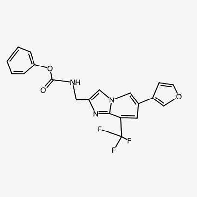 O=C(NCc1cn2cc(-c3ccoc3)cc(C(F)(F)F)c2n1)Oc1ccccc1